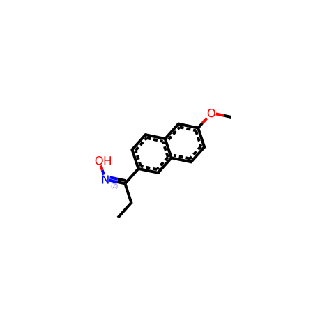 CC/C(=N/O)c1ccc2cc(OC)ccc2c1